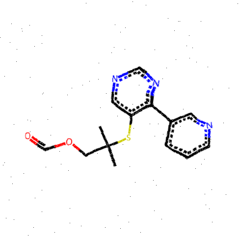 CC(C)(COC=O)Sc1cncnc1-c1cccnc1